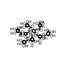 O=C(OCC1CC(OC(=O)c2cc(O)c(O)c(O)c2)[C@@H](OC(=O)c2cc(O)c(O)c(OC(=O)c3cc(O)c(O)c(O)c3)c2)C(OC(=O)c2cc(O)c(O)c(OC(=O)c3cc(O)c(O)c(O)c3)c2)[C@@H]1OC(=O)c1cc(O)c(O)c(OC(=O)c2cc(O)c(O)c(O)c2)c1)c1cc(O)c(O)c(O)c1